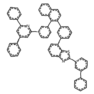 c1ccc(-c2cccc(-c3nc4cccc(-c5cccc(-c6ccc7ccccc7c6-c6cccc(-c7cc(-c8ccccc8)cc(-c8ccccc8)n7)c6)c5)c4s3)c2)cc1